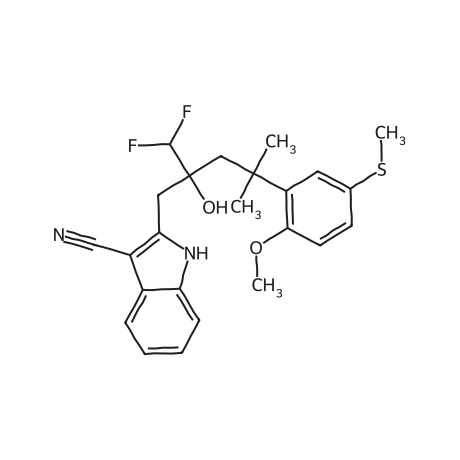 COc1ccc(SC)cc1C(C)(C)CC(O)(Cc1[nH]c2ccccc2c1C#N)C(F)F